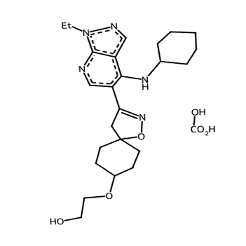 CCn1ncc2c(NC3CCCCC3)c(C3=NOC4(CCC(OCCO)CC4)C3)cnc21.O=C(O)O